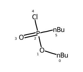 CCCCOP(=O)(Cl)CCCC